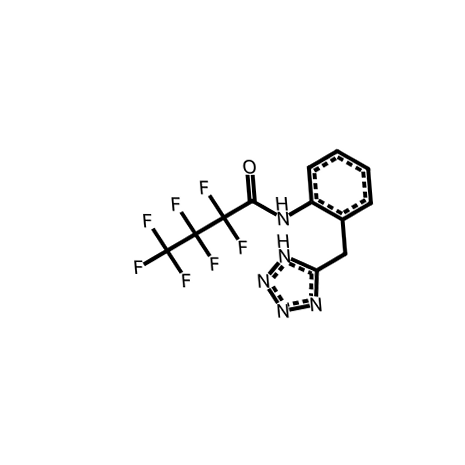 O=C(Nc1ccccc1Cc1nnn[nH]1)C(F)(F)C(F)(F)C(F)(F)F